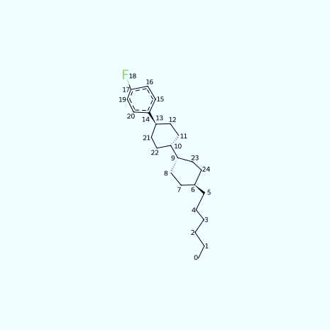 CCCCCC[C@H]1CC[C@H]([C@H]2CC[C@H](c3ccc(F)cc3)CC2)CC1